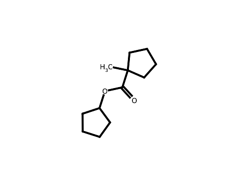 CC1(C(=O)OC2CCCC2)CCCC1